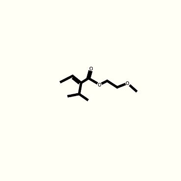 C/C=C(/C(=O)OCCOC)C(C)C